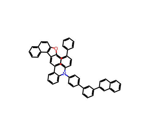 c1ccc(-c2ccc(N(c3ccc(-c4cccc(-c5ccc6ccccc6c5)c4)cc3)c3ccccc3-c3ccc4oc5ccc6ccccc6c5c4c3)cc2)cc1